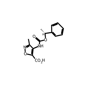 Cc1noc(C(=O)O)c1NC(=O)O[C@H](C)c1ccccc1